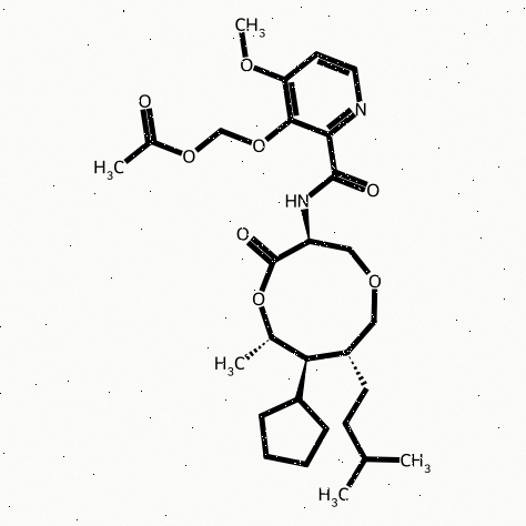 COc1ccnc(C(=O)N[C@H]2COC[C@H](CCC(C)C)[C@@H](C3CCCC3)[C@H](C)OC2=O)c1OCOC(C)=O